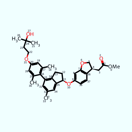 COC(=O)C[C@@H]1COc2cc(O[C@@H]3CCc4c(-c5c(C)cc(OCCC(C)(C)O)cc5C)cc(C(F)(F)F)cc43)ccc21